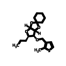 CCC[C@H]1O[C@@H]2OC3(CCCCC3)O[C@@H]2[C@H]1OCc1ccsc1C